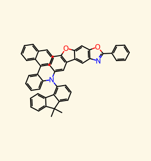 CC1(C)c2ccccc2-c2c(N(c3ccc4oc5cc6oc(-c7ccccc7)nc6cc5c4c3)c3ccccc3-c3cccc4ccccc34)cccc21